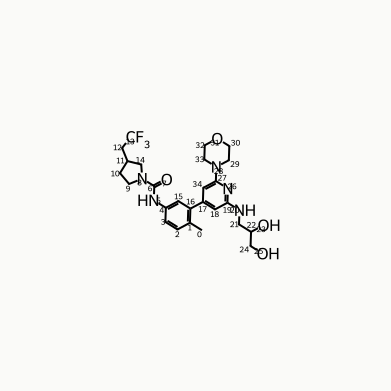 Cc1ccc(NC(=O)N2CCC(CC(F)(F)F)C2)cc1-c1cc(NCC(O)CO)nc(N2CCOCC2)c1